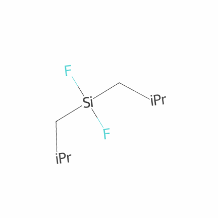 CC(C)C[Si](F)(F)CC(C)C